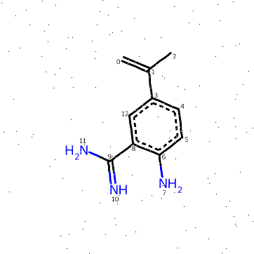 C=C(C)c1ccc(N)c(C(=N)N)c1